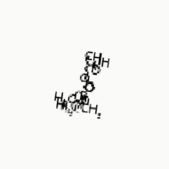 CCC(CCOc1cccc(B2OC(C)(C)C(C)(C)O2)c1)C(=O)O